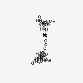 CC[C@H](NC)C(=O)N[C@@H]1C(=O)N2[C@@H](CC[C@@H]1CNC(=O)CCc1cn(CCCOCCOCCOCCCNC(=O)[C@@H](NC(=O)[C@@H]3CC[C@@H]4CC[C@H](CCNCc5ccccc5)[C@H](NC(=O)[C@H](C)NC)C(=O)N43)c3ccccc3)nn1)CC[C@H]2C(=O)NCc1ccccc1